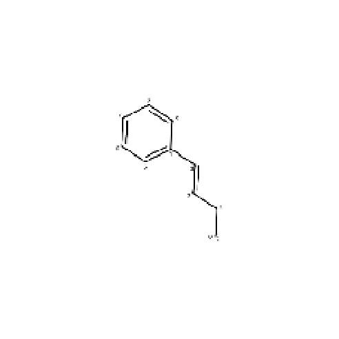 [C]CC=Cc1ccccc1